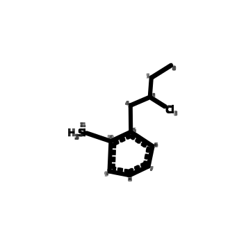 CCC(Cl)Cc1ccccc1[SiH3]